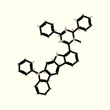 CN1C(c2cccc3c2sc2cc4c(cc23)c2c(n4-c3ccccc3)C=CCC2)=NC(c2ccccc2)=NC1c1ccccc1